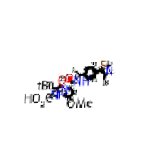 CO[C@@H]1C[C@@H](C(=O)N[C@@H](C)c2ccc(-c3scnc3C)cc2)N(C(=O)[C@@H](NC(=O)O)C(C)(C)C)C1